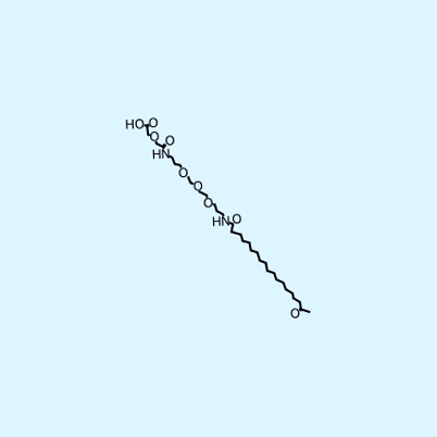 CC(=O)CCCCCCCCCCCCCCCCC(=O)NCCCOCCOCCOCCCNC(=O)COCC(=O)O